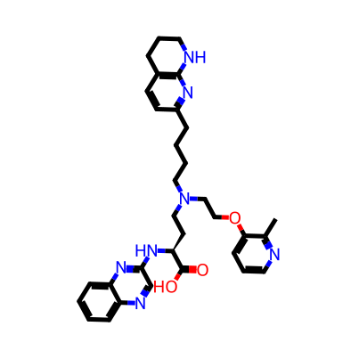 Cc1ncccc1OCCN(CCCCc1ccc2c(n1)NCCC2)CC[C@H](Nc1cnc2ccccc2n1)C(=O)O